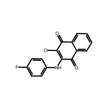 O=C1C(Cl)=C(Nc2ccc(F)cc2)C(=O)c2ccccc21